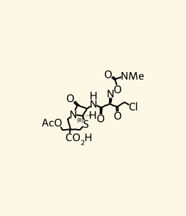 CNC(=O)ON=C(C(=O)CCl)C(=O)NC1C(=O)N2CC(COC(C)=O)(C(=O)O)CS[C@H]12